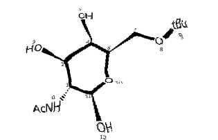 CC(=O)N[C@@H]1[C@@H](O)[C@@H](O)[C@@H](COC(C)(C)C)O[C@H]1O